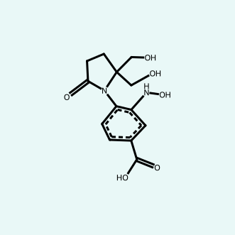 O=C(O)c1ccc(N2C(=O)CCC2(CO)CO)c(NO)c1